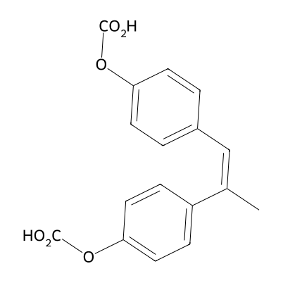 CC(=Cc1ccc(OC(=O)O)cc1)c1ccc(OC(=O)O)cc1